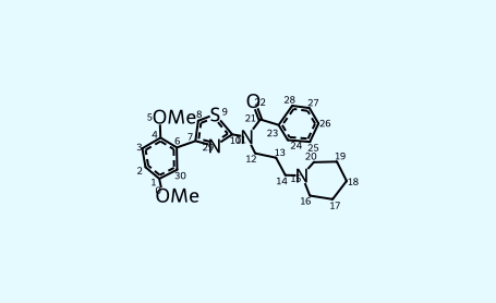 COc1ccc(OC)c(-c2csc(N(CCCN3CCCCC3)C(=O)c3ccccc3)n2)c1